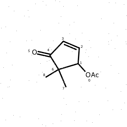 CC(=O)OC1C=CC(=O)C1(C)C